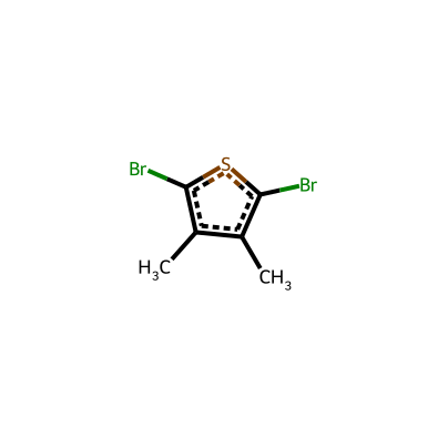 Cc1c(Br)sc(Br)c1C